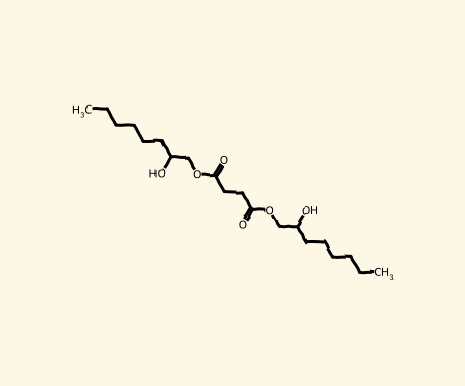 CCCCCCC(O)COC(=O)CCC(=O)OCC(O)CCCCCC